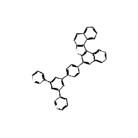 c1cncc(-c2cc(-c3ccc(-c4cc5ccccc5c5c4oc4ccc6ccccc6c45)cc3)cc(-c3cccnc3)c2)c1